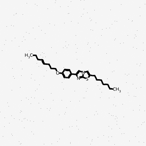 CCC/C=C/CCCOc1ccc(-c2cn3cc(CCCCCCC)sc3n2)cc1